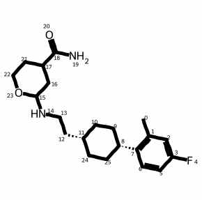 Cc1cc(F)ccc1[C@H]1CC[C@@H](CCNC2CC(C(N)=O)CCO2)CC1